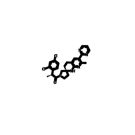 Cc1nc2c(cc1-c1ncccn1)CC[C@@]1(CCN(C(=O)[C@H](C)c3ccc(Cl)cc3Cl)C1)N2